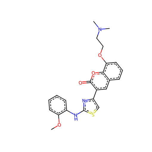 COc1ccccc1Nc1nc(-c2cc3cccc(OCCN(C)C)c3oc2=O)cs1